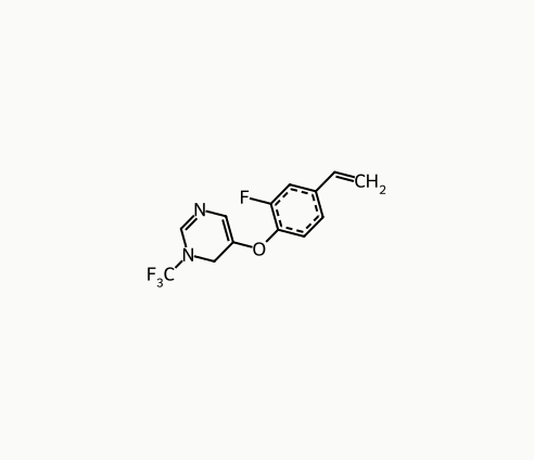 C=Cc1ccc(OC2=CN=CN(C(F)(F)F)C2)c(F)c1